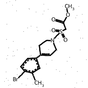 COC(=O)CS(=O)(=O)N1CC=C(c2ccc(Br)c(C)c2)CC1